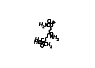 CC(C)(CCCCC(CCCCC1(C(=O)ON)CC1)ON)C(=O)O